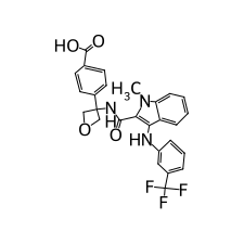 Cn1c(C(=O)NC2(c3ccc(C(=O)O)cc3)COC2)c(Nc2cccc(C(F)(F)F)c2)c2ccccc21